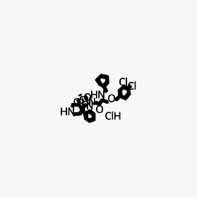 CS(=O)(=O)C1N(NC(=O)C(COCc2ccc(Cl)c(Cl)c2)NCc2ccccc2)c2ccccc2C12CCNCC2.Cl